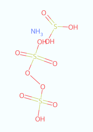 N.O=S(=O)(O)OOS(=O)(=O)O.O=S(O)O